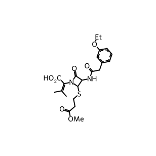 CCOc1cccc(CC(=O)NC2C(=O)N(C(C(=O)O)=C(C)C)C2SCCC(=O)OC)c1